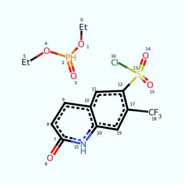 CCO[PH](=O)OCC.O=c1[c]cc2cc(S(=O)(=O)Cl)c(C(F)(F)F)cc2[nH]1